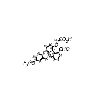 O=Cc1cccc2c1c1c(OCC(=O)O)cccc1n2Cc1cccc(OC(F)(F)F)c1